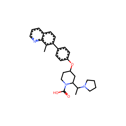 Cc1c(-c2ccc(OC3CCN(C(=O)O)C(C(C)N4CCCC4)C3)cc2)ccc2cccnc12